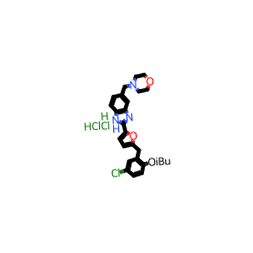 CC(C)COc1ccc(Cl)cc1Cc1ccc(-c2nc3cc(CN4CCOCC4)ccc3[nH]2)o1.Cl.Cl